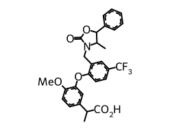 COc1ccc(C(C)C(=O)O)cc1Oc1ccc(C(F)(F)F)cc1CN1C(=O)OC(c2ccccc2)C1C